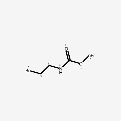 CCCOC(=O)NCCBr